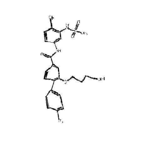 CS(=O)(=O)Nc1cc(NC(=O)c2ccc(-c3ccc(C(F)(F)F)cc3)c(OCCCO)c2)ccc1O